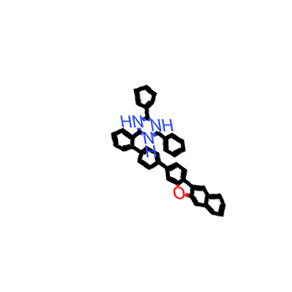 c1ccc(C2NC(c3ccccc3)NC(c3ccccc3-c3ccc(-c4ccc5c(c4)oc4cc6ccccc6cc45)cc3)N2)cc1